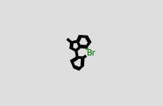 CC1=CC(c2ccccc2C)c2c(Br)cccc21